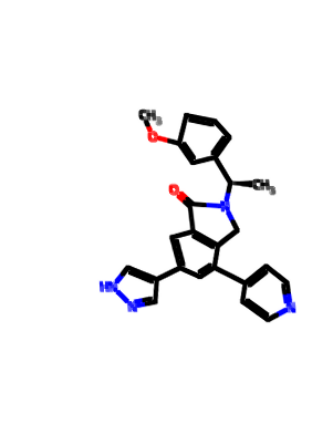 COc1cccc([C@@H](C)N2Cc3c(cc(-c4cn[nH]c4)cc3-c3ccncc3)C2=O)c1